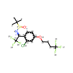 CC(C)(C)[S+]([O-])/N=C(\c1ccc(OCCCC(F)(F)F)cc1Cl)C(F)(F)F